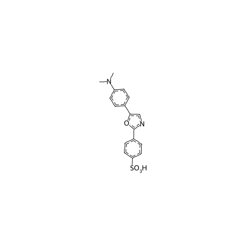 CN(C)c1ccc(-c2cnc(-c3ccc(S(=O)(=O)O)cc3)o2)cc1